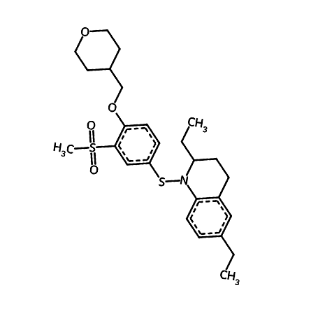 CCc1ccc2c(c1)CCC(CC)N2Sc1ccc(OCC2CCOCC2)c(S(C)(=O)=O)c1